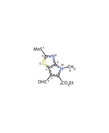 CCOC(=O)c1c(C=O)c2sc(SC)nc2n1C